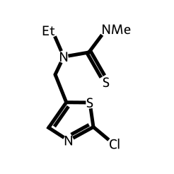 CCN(Cc1cnc(Cl)s1)C(=S)NC